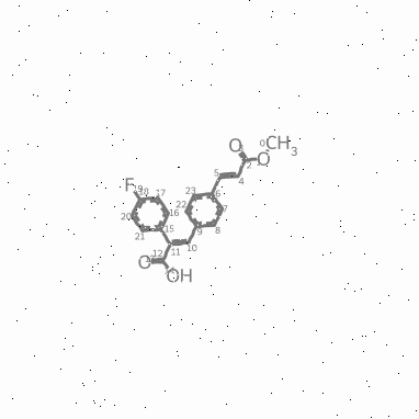 COC(=O)C=Cc1ccc(/C=C(/C(=O)O)c2ccc(F)cc2)cc1